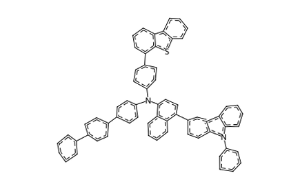 c1ccc(-c2ccc(-c3ccc(N(c4ccc(-c5cccc6c5sc5ccccc56)cc4)c4ccc(-c5ccc6c(c5)c5ccccc5n6-c5ccccc5)c5ccccc45)cc3)cc2)cc1